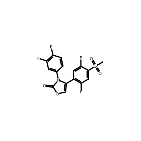 CS(=O)(=O)c1cc(F)c(-c2coc(=O)n2-c2ccc(F)c(F)c2)cc1F